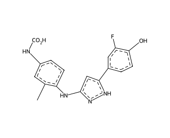 Cc1cc(NC(=O)O)ccc1Nc1cc(-c2ccc(O)c(F)c2)[nH]n1